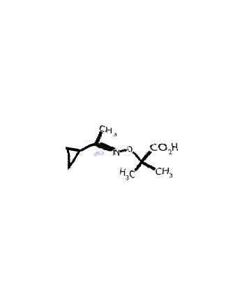 C/C(=N\OC(C)(C)C(=O)O)C1CC1